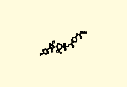 COC(=O)OC1CCN(C(=O)CCS(=O)(=O)N2CC[C@@H](c3[nH]c(-c4ccc(F)cn4)nc3Cl)[C@@H](C)C2)CC1